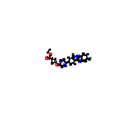 CCOC(=O)C1CC(Oc2cnc(-c3ccc(-c4nc5cc(F)ccc5[nH]4)c(F)c3)cn2)C1